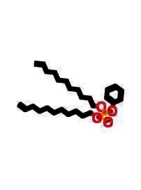 C=CCCCCCCCCCOP(=O)(OCCCCCCCCCC=C)Oc1ccccc1